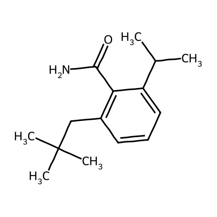 CC(C)c1cccc(CC(C)(C)C)c1C(N)=O